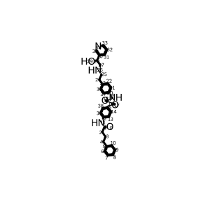 O=C(CCCc1ccccc1)Nc1ccc(S(=O)(=O)Nc2ccc(CCNCC(O)c3cccnc3)cc2)cc1